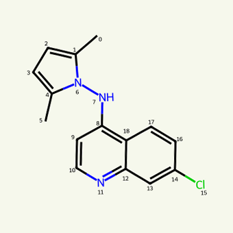 Cc1ccc(C)n1Nc1ccnc2cc(Cl)ccc12